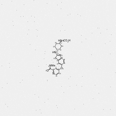 CNC(=O)c1cc(Oc2ccc3nc(N[C@H]4CC[C@H](NC(=O)O)CC4)sc3c2)ccn1